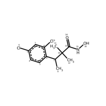 CC(c1ccc(Cl)cc1Cl)C(C)(C)C(=O)NO